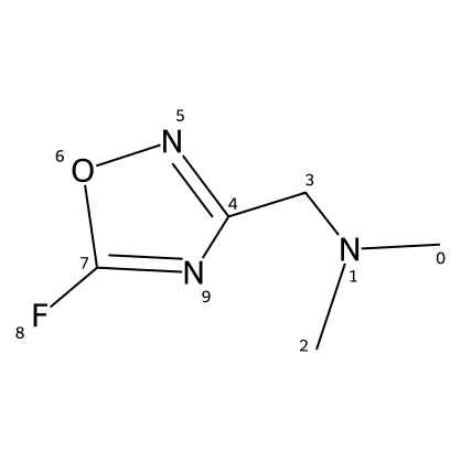 CN(C)Cc1noc(F)n1